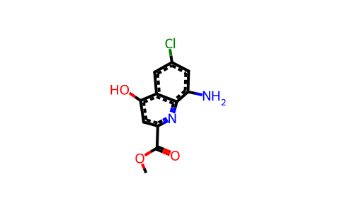 COC(=O)c1cc(O)c2cc(Cl)cc(N)c2n1